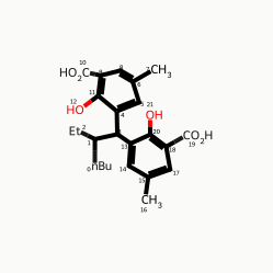 CCCCC(CC)C(c1cc(C)cc(C(=O)O)c1O)c1cc(C)cc(C(=O)O)c1O